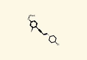 CCCCCOc1ccc(C#C/C=C/[C@H]2CC[C@H](CC)CC2)c(F)c1